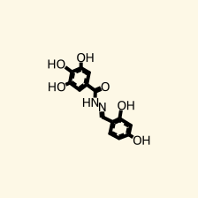 O=C(N/N=C/c1ccc(O)cc1O)c1cc(O)c(O)c(O)c1